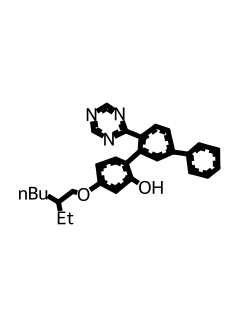 CCCCC(CC)COc1ccc(-c2cc(-c3ccccc3)ccc2-c2ncncn2)c(O)c1